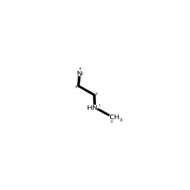 CNCC[N]